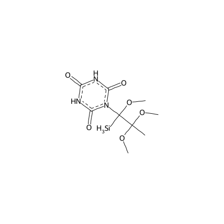 COC(C)(OC)C([SiH3])(OC)n1c(=O)[nH]c(=O)[nH]c1=O